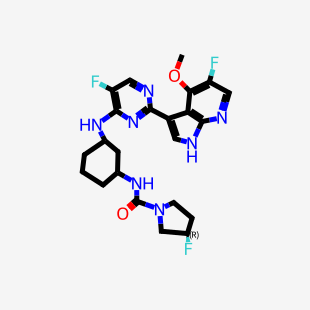 COc1c(F)cnc2[nH]cc(-c3ncc(F)c(NC4CCCC(NC(=O)N5CC[C@@H](F)C5)C4)n3)c12